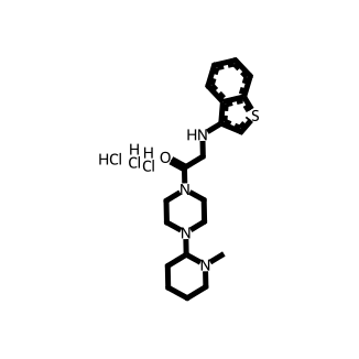 CN1CCCCC1N1CCN(C(=O)CNc2csc3ccccc23)CC1.Cl.Cl.Cl